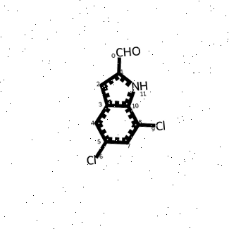 O=Cc1cc2cc(Cl)cc(Cl)c2[nH]1